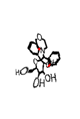 OCC1OC(c2ccccc2)(C(c2ccccc2)N2CCOCC2)C(O)C(O)C1O